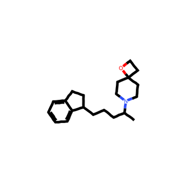 CC(CCCC1CCc2ccccc21)N1CCC2(CCO2)CC1